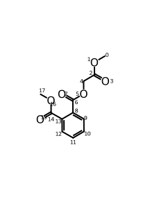 COC(=O)COC(=O)c1ccccc1C(=O)OC